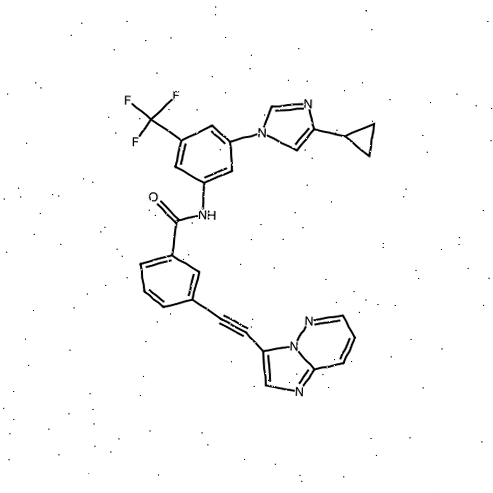 O=C(Nc1cc(-n2cnc(C3CC3)c2)cc(C(F)(F)F)c1)c1cccc(C#Cc2cnc3cccnn23)c1